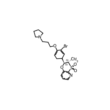 C[C@H]1[C@H](C2C=C(Br)C(OCCCN3CCCC3)=CC2)Oc2cccnc2S1(=O)=O